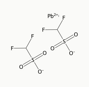 O=S(=O)([O-])C(F)F.O=S(=O)([O-])C(F)F.[Pb+2]